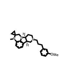 COc1cccc(CCCN2CC[C@H]3[C@@H](C2)c2cccc4c2N3CC2(CC2)N4C)c1